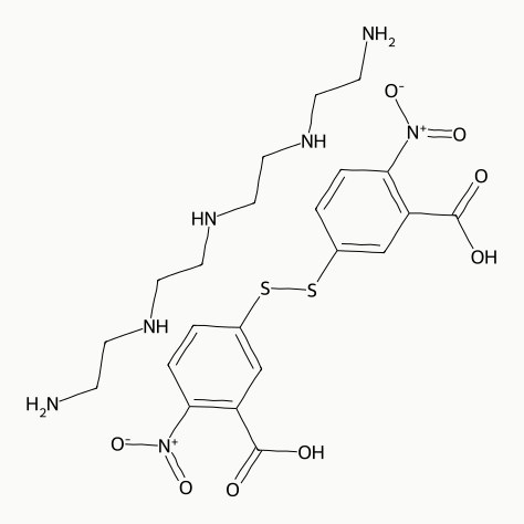 NCCNCCNCCNCCN.O=C(O)c1cc(SSc2ccc([N+](=O)[O-])c(C(=O)O)c2)ccc1[N+](=O)[O-]